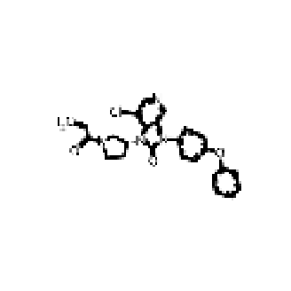 C=CC(=O)N1CC[C@@H](n2c(=O)n(-c3ccc(Oc4ccccc4)cc3)c3cncc(Cl)c32)C1